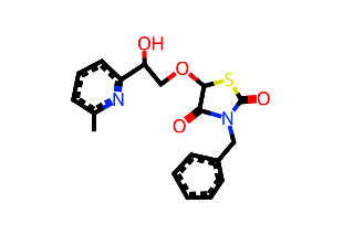 Cc1cccc(C(O)COC2SC(=O)N(Cc3ccccc3)C2=O)n1